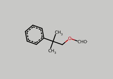 CC(C)(CO[C]=O)c1ccccc1